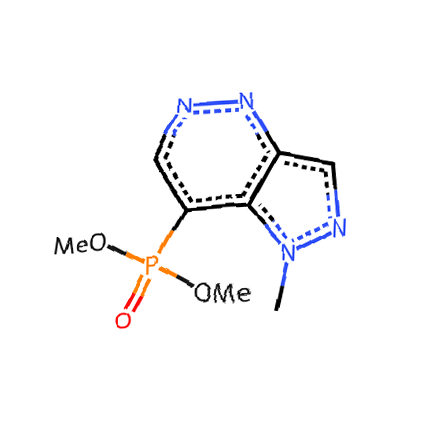 COP(=O)(OC)c1cnnc2cnn(C)c12